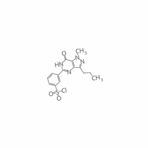 CCCc1nn(C)c2c(=O)[nH]c(-c3cccc(S(=O)(=O)Cl)c3)nc12